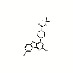 CC(C)(C)OC(=O)N1CCN(c2nc(N)nc3c2oc2ccc(Cl)cc23)CC1